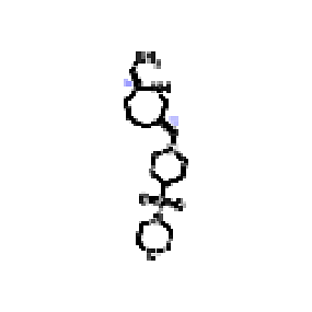 N/C=C1/CCC/C(=C\N2CCC(S(=O)(=O)N3CCOCC3)CC2)CN1